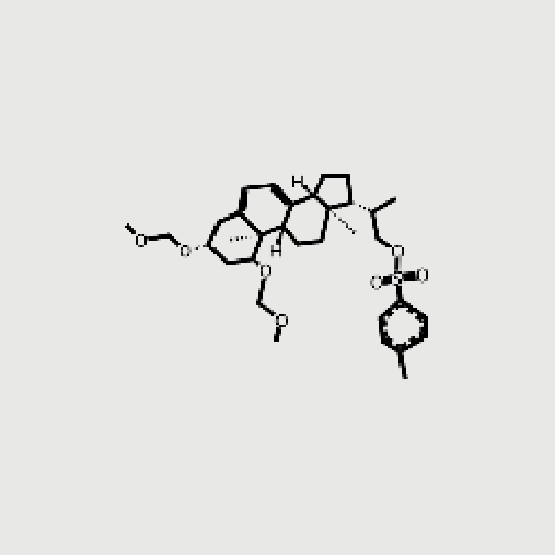 COCO[C@@H]1CC2=CC=C3[C@@H]4CC[C@H](C(C)COS(=O)(=O)c5ccc(C)cc5)[C@@]4(C)CC[C@@H]3[C@@]2(C)[C@@H](OCOC)C1